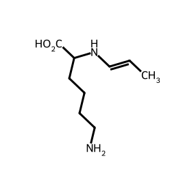 CC=CNC(CCCCN)C(=O)O